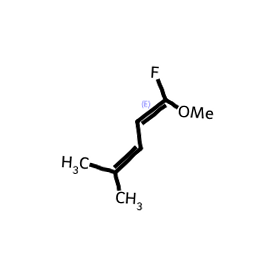 CO/C(F)=C\C=C(C)C